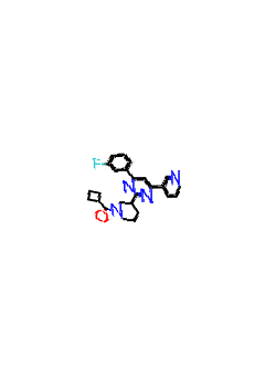 O=C(C1CCC1)N1CCCC(c2nc(-c3cccnc3)cc(-c3cccc(F)c3)n2)C1